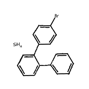 Brc1ccc(-c2ccccc2-c2ccccc2)cc1.[SiH4]